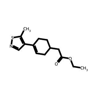 CCOC(=O)CC1CC=C(c2cnsc2C)CC1